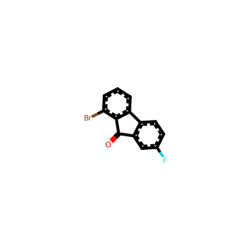 O=C1c2cc(F)ccc2-c2cccc(Br)c21